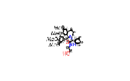 COc1ccc(CC2c3cc(OC)c(OC)cc3CCCN2C(C(=O)NCCO)c2ccccc2)cc1OC